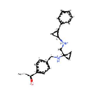 COC(=O)c1ccc(CNC2(CNC3CC3c3ccccc3)CC2)cc1